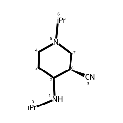 CC(C)NC1CCN(C(C)C)C[C@H]1C#N